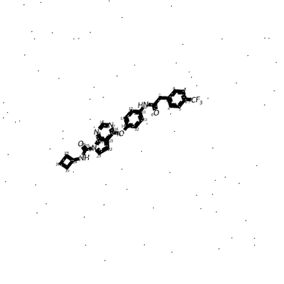 O=C(Cc1ccc(C(F)(F)F)cc1)Nc1ccc(Oc2ncnc3c2ccn3C(=O)NC2CCC2)cc1